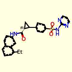 CCc1cccc2ccc(NC(=O)[C@@H]3CC3c3ccc(S(=O)(=O)Nc4ncccn4)cc3)cc12